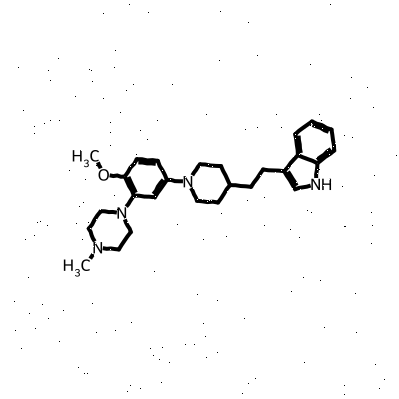 COc1ccc(N2CCC(CCc3c[nH]c4ccccc34)CC2)cc1N1CCN(C)CC1